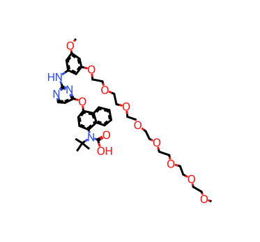 COCCOCCOCCOCCOCCOCCOCCOc1cc(Nc2nccc(Oc3ccc(N(C(=O)O)C(C)(C)C)c4ccccc34)n2)cc(OC)c1